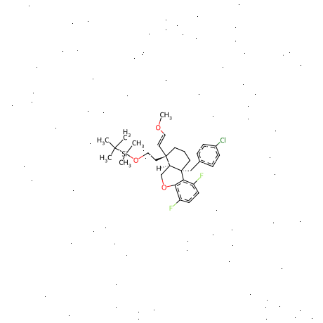 COC=C[C@]1(CCO[Si](C)(C)C(C)(C)C)CCC[C@@]2(Cc3ccc(Cl)cc3)c3c(F)ccc(F)c3OC[C@@H]12